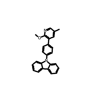 COc1ncc(C)cc1-c1ccc(-n2c3ccccc3c3ccccc32)cc1